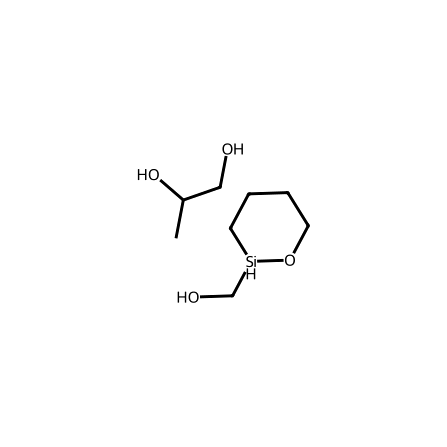 CC(O)CO.OC[SiH]1CCCCO1